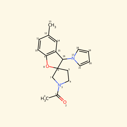 CC(=O)N1CCC2(C1)Oc1ccc(C)cc1C2n1cccc1